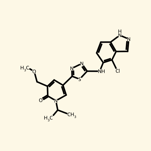 COCc1cc(-c2nnc(Nc3ccc4[nH]ncc4c3Cl)s2)cn(C(C)C)c1=O